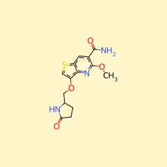 COc1nc2c(OCC3CCC(=O)N3)csc2cc1C(N)=O